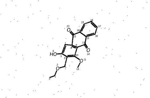 CCOCc1c(O)cc2c(c1OC)C(=O)c1ccccc1C2=O